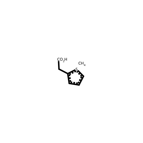 C.O=C(O)Cc1cccs1